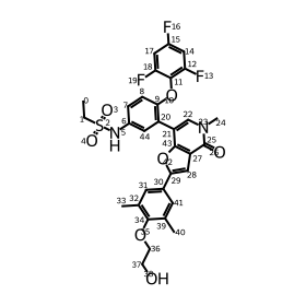 CCS(=O)(=O)Nc1ccc(Oc2c(F)cc(F)cc2F)c(-c2cn(C)c(=O)c3cc(-c4cc(C)c(OCCO)c(C)c4)oc23)c1